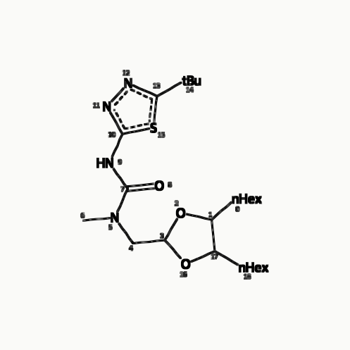 CCCCCCC1OC(CN(C)C(=O)Nc2nnc(C(C)(C)C)s2)OC1CCCCCC